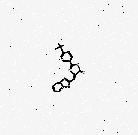 CC(C)(C)c1ccc(C2=N/C(=C\c3cc4ccccc4[nH]3)C(=O)O2)cc1